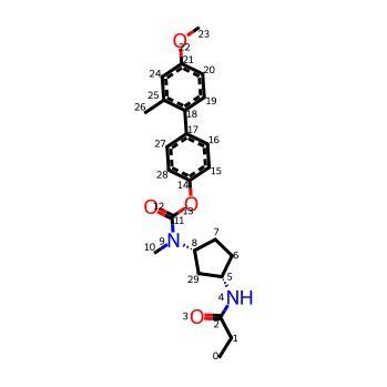 CCC(=O)N[C@H]1CC[C@@H](N(C)C(=O)Oc2ccc(-c3ccc(OC)cc3C)cc2)C1